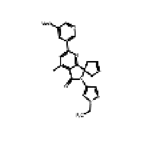 COc1cncc(-c2cc(C)c3c(n2)C2(CC=CC2)N(c2cnn(CC(F)(F)F)c2)C3=O)c1